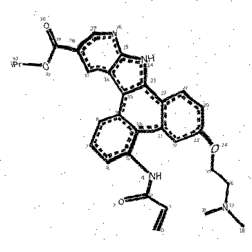 C=CC(=O)Nc1cccc2c1c1cc(OCCN(C)C)ccc1c1[nH]c3ncc(C(=O)OC(C)C)cc3c21